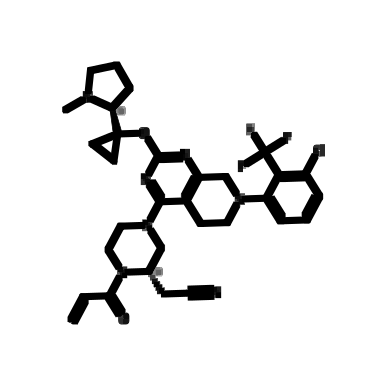 C=CC(=O)N1CCN(c2nc(OC3([C@@H]4CCCN4C)CC3)nc3c2CCN(c2cccc(Cl)c2C(F)(F)F)C3)C[C@@H]1CC#N